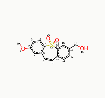 COc1ccc2c(c1)C=Cc1ccc(CO)cc1S2(=O)=O